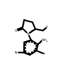 Nc1c(F)cc(Br)cc1N1C(=O)CCC1CF